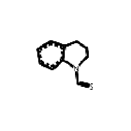 S=CN1CCCc2ccccc21